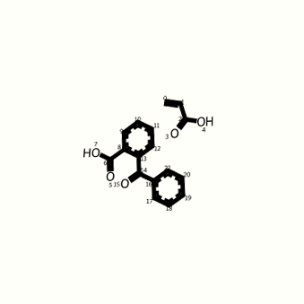 C=CC(=O)O.O=C(O)c1ccccc1C(=O)c1ccccc1